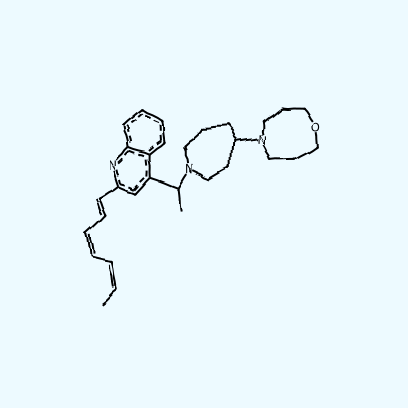 C\C=C/C=C\C=C\c1cc(C(C)N2CCCC(N3CCCOCCC3)CC2)c2ccccc2n1